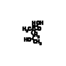 C[C@@H](O)CCC(C)(C)NC(=O)O